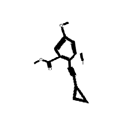 CI.COC(=O)c1cc(OC)ccc1C#CC1CC1